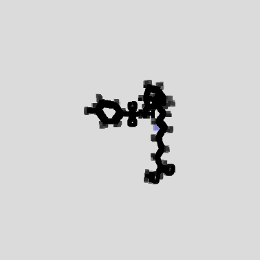 Cc1ccc(S(=O)(=O)NC2C(C/C=C/CCCC(=O)O)CC3CC2C3(C)C)cc1